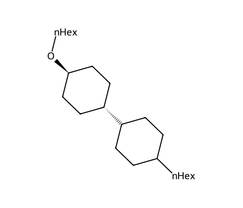 CCCCCCO[C@H]1CC[C@H](C2CCC(CCCCCC)CC2)CC1